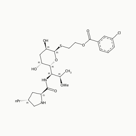 CCC[C@H]1CN[C@H](C(=O)N[C@@H]([C@H]2O[C@H](SCCOC(=O)c3cccc(Cl)c3)[C@H](O)C[C@H]2O)[C@@H](C)OC)C1